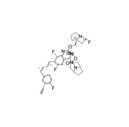 C#Cc1cc(/C=C\C=C\c2c(F)cc3c(N4CC5CCC(C4)N5C(=O)OC(C)(C)C)nc(OC[C@@]45CCCN4C[C@H](F)C5)nc3c2F)ccc1F